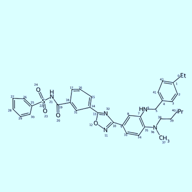 CCc1ccc(CNc2cc(-c3noc(-c4cccc(C(=O)NS(=O)(=O)c5ccccc5)c4)n3)ccc2N(C)CCC(C)C)cc1